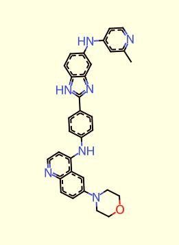 Cc1cc(Nc2ccc3[nH]c(-c4ccc(Nc5ccnc6ccc(N7CCOCC7)cc56)cc4)nc3c2)ccn1